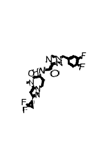 CN1C(=O)[C@@H](NC(=O)c2ncn(Cc3ccc(F)c(F)c3)n2)CCn2nc([C@H]3CC3(F)F)cc21